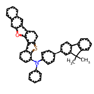 CC1(C)c2ccccc2-c2ccc(-c3ccc(N(c4ccccc4)c4cccc5c4sc4ccc6c7cc8ccccc8cc7oc6c45)cc3)cc21